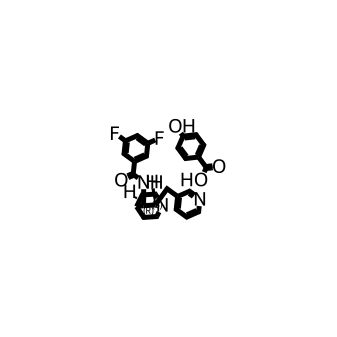 O=C(N[C@@H]1C2CCN(CC2)[C@H]1Cc1cccnc1)c1cc(F)cc(F)c1.O=C(O)c1ccc(O)cc1